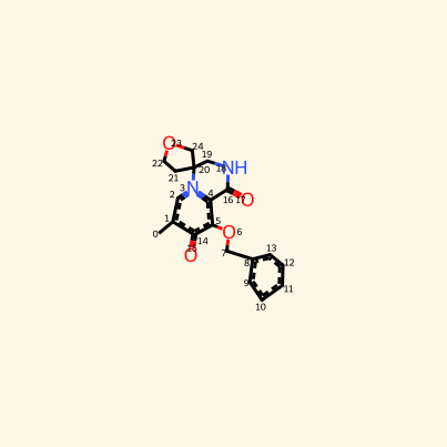 Cc1cn2c(c(OCc3ccccc3)c1=O)C(=O)NCC21CCOC1